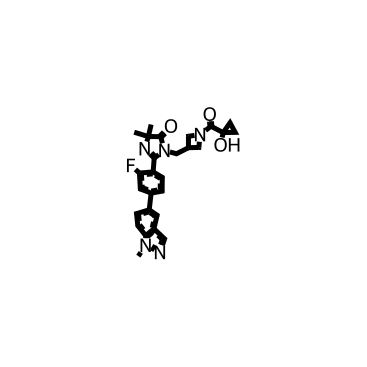 Cn1ncc2cc(-c3ccc(C4=NC(C)(C)C(=O)N4CC4CN(C(=O)C5(O)CC5)C4)c(F)c3)ccc21